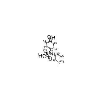 O=S(=O)(O)N(c1ccccc1)c1ccc(O)cc1